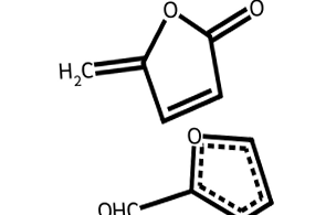 C=C1C=CC(=O)O1.O=Cc1ccco1